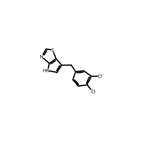 Clc1ccc(Cc2c[nH]c3ncsc23)cc1Cl